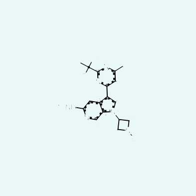 CCN1CC(n2cc(-c3cc(C)nc(C(C)(F)F)n3)c3cc(NC(C)=O)ncc32)C1